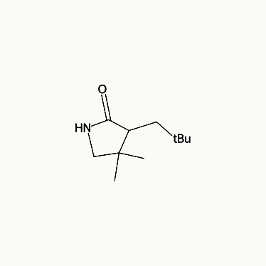 CC(C)(C)CC1C(=O)NCC1(C)C